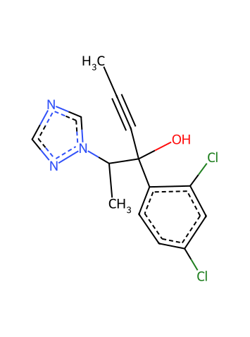 CC#CC(O)(c1ccc(Cl)cc1Cl)C(C)n1cncn1